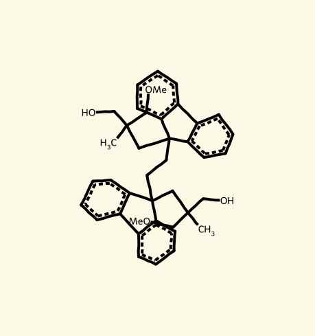 COCC(C)(CO)CC1(CCC2(CC(C)(CO)COC)c3ccccc3-c3ccccc32)c2ccccc2-c2ccccc21